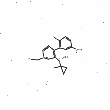 COc1ccc(F)c(-c2ccc(CC(C)C)cc2[C@H](O)C2(C)CC2)c1